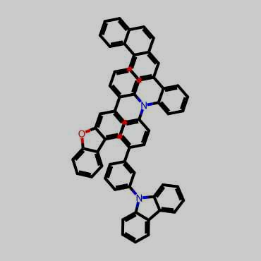 c1cc(-c2ccc(N(c3ccccc3-c3ccc4c(ccc5ccccc54)c3)c3ccccc3-c3ccc4c(c3)oc3ccccc34)cc2)cc(-n2c3ccccc3c3ccccc32)c1